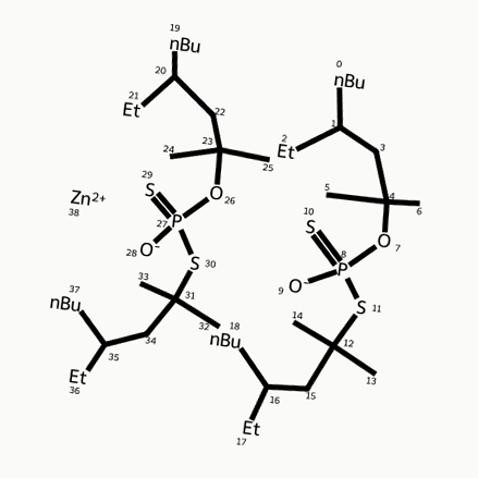 CCCCC(CC)CC(C)(C)OP([O-])(=S)SC(C)(C)CC(CC)CCCC.CCCCC(CC)CC(C)(C)OP([O-])(=S)SC(C)(C)CC(CC)CCCC.[Zn+2]